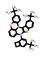 CC(C)(C)c1ccc2c(c1)Oc1cccc3c1B2c1c(sc2ccc(C(C)(C)C)cc12)N3c1cc(C(C)(C)C)cc2c1CC2